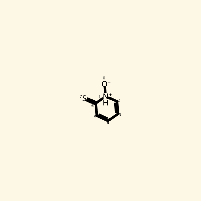 [O-][NH+]1C=CC=CC1=S